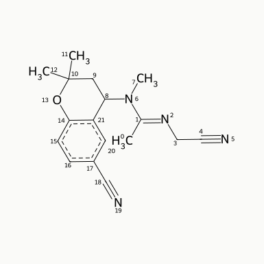 C/C(=N\CC#N)N(C)C1CC(C)(C)Oc2ccc(C#N)cc21